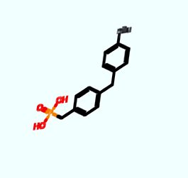 CCCCc1ccc(Cc2ccc(CP(=O)(O)O)cc2)cc1